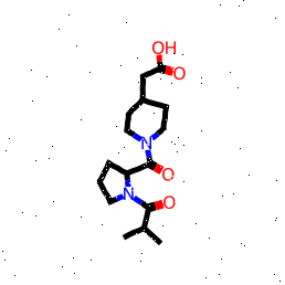 CC(C)C(=O)N1CCCC1C(=O)N1CCC(CC(=O)O)CC1